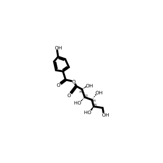 O=C(OC(=O)[C@H](O)[C@@H](O)[C@H](O)[C@H](O)CO)c1ccc(O)cc1